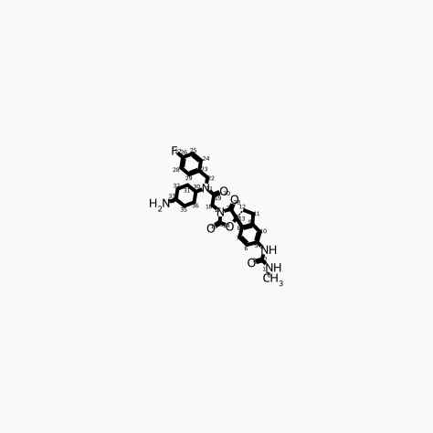 CNC(=O)Nc1ccc2c(c1)CC[C@@]21OC(=O)N(CC(=O)N(Cc2ccc(F)cc2)C2CCC(N)CC2)C1=O